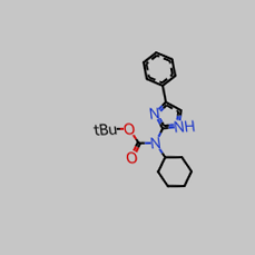 CC(C)(C)OC(=O)N(c1nc(-c2ccccc2)c[nH]1)C1CCCCC1